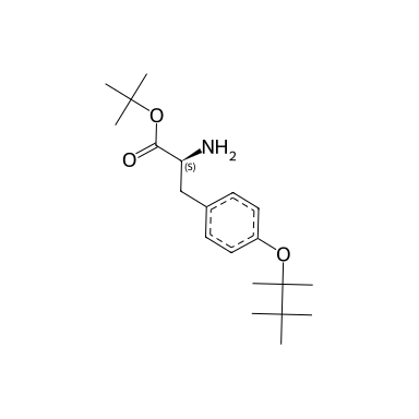 CC(C)(C)OC(=O)[C@@H](N)Cc1ccc(OC(C)(C)C(C)(C)C)cc1